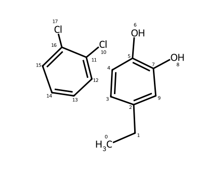 CCc1ccc(O)c(O)c1.Clc1ccccc1Cl